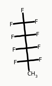 CC(F)(F)C(F)(F)C(F)(F)C(F)(F)F